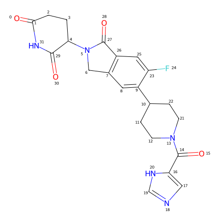 O=C1CCC(N2Cc3cc(C4CCN(C(=O)c5cnc[nH]5)CC4)c(F)cc3C2=O)C(=O)N1